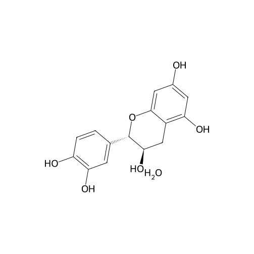 O.Oc1cc(O)c2c(c1)O[C@@H](c1ccc(O)c(O)c1)[C@H](O)C2